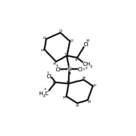 CC(Cl)C1([Si](Cl)(Cl)C2(C(C)Cl)CCCCC2)CCCCC1